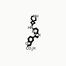 O=C(O)c1cc2cc(-c3cnc4ccc(NC5CC6(CCNCC6)C5)nn34)ccc2o1